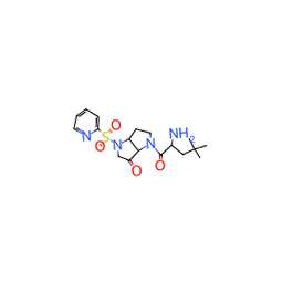 CC(C)(C)CC(N)C(=O)N1CCC2C1C(=O)CN2S(=O)(=O)c1ccccn1